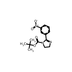 CC(C)(C)OC(=O)N1CCN=C1c1cccc([N+](=O)[O-])c1